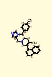 N#CC1=C(c2cccc3ccccc23)CN(Cc2cncn2Cc2ccc(C#N)cc2)CC1